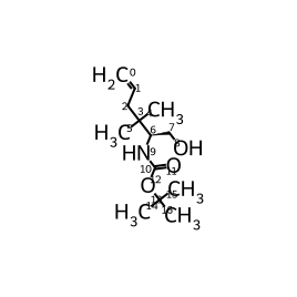 C=CCC(C)(C)[C@@H](CO)NC(=O)OC(C)(C)C